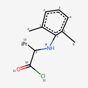 Cc1cccc(C)c1NC(C(=O)Cl)C(C)C